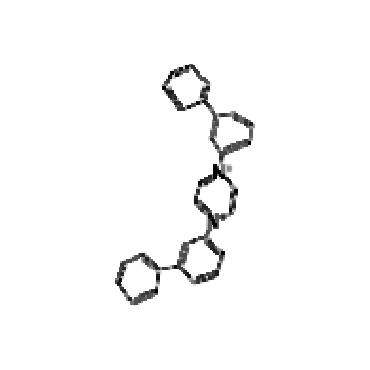 c1ccc(-c2cccc(-[n+]3cc[n+](-c4cccc(-c5ccccc5)c4)cc3)c2)cc1